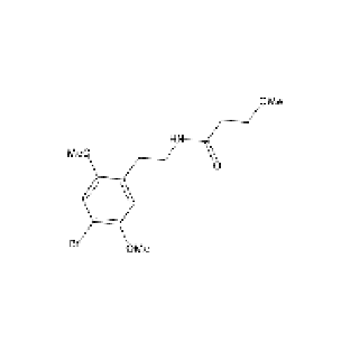 COCCC(=O)NCCc1cc(OC)c(Br)cc1OC